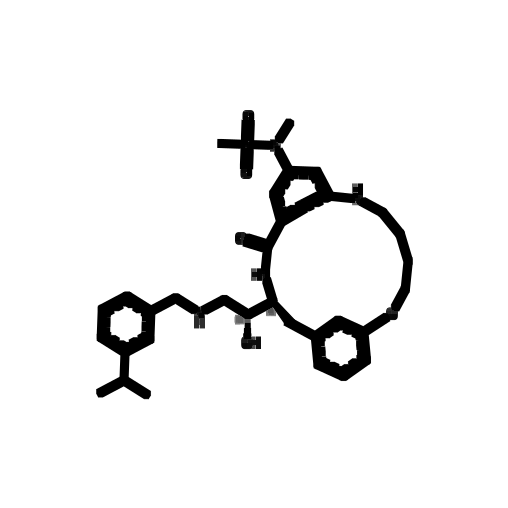 CC(C)c1cccc(CNC[C@@H](O)[C@@H]2Cc3cccc(c3)OCCCCNc3cc(cc(N(C)S(C)(=O)=O)c3)C(=O)N2)c1